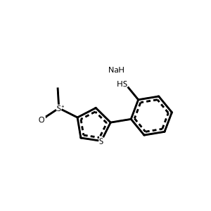 C[S+]([O-])c1csc(-c2ccccc2S)c1.[NaH]